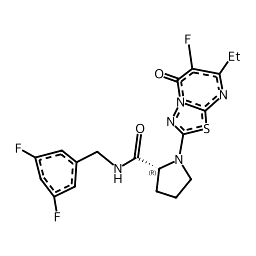 CCc1nc2sc(N3CCC[C@@H]3C(=O)NCc3cc(F)cc(F)c3)nn2c(=O)c1F